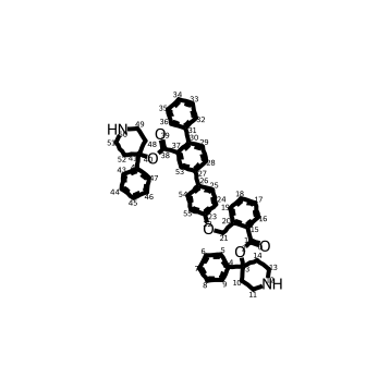 O=C(OC1(c2ccccc2)CCNCC1)c1ccccc1COc1ccc(-c2ccc(-c3ccccc3)c(C(=O)OC3(c4ccccc4)CCNCC3)c2)cc1